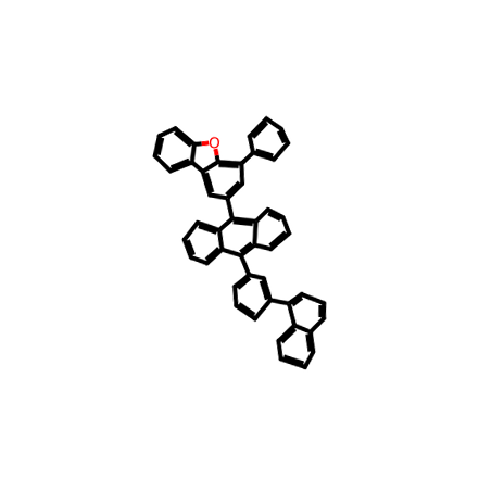 c1ccc(-c2cc(-c3c4ccccc4c(-c4cccc(-c5cccc6ccccc56)c4)c4ccccc34)cc3c2oc2ccccc23)cc1